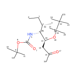 CC[C@H](C)[C@@H](NC(=O)OC(C)(C)C)[C@H](CC(C)=O)O[Si](C)(C)C(C)(C)C